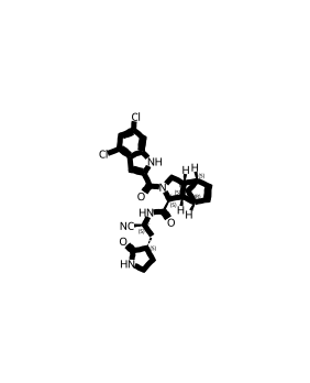 N#C[C@H](C[C@@H]1CCNC1=O)NC(=O)[C@@H]1[C@@H]2[C@H](CN1C(=O)c1cc3c(Cl)cc(Cl)cc3[nH]1)[C@@H]1C=C[C@H]2C1